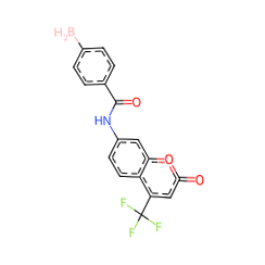 Bc1ccc(C(=O)Nc2ccc3c(C(F)(F)F)cc(=O)oc3c2)cc1